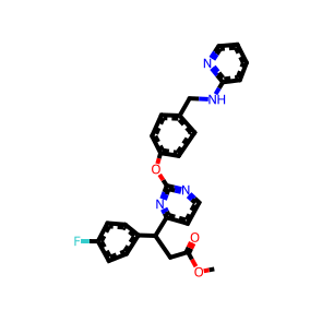 COC(=O)CC(c1ccc(F)cc1)c1ccnc(Oc2ccc(CNc3ccccn3)cc2)n1